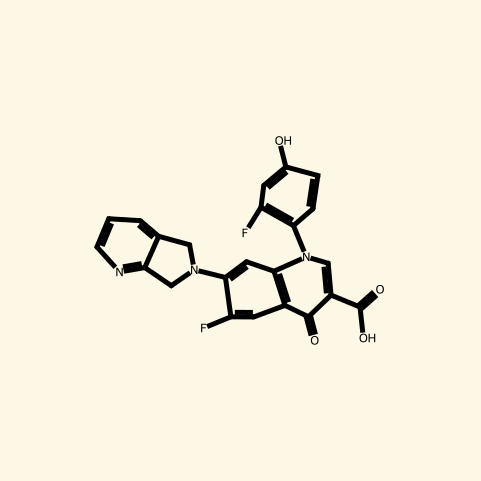 O=C(O)c1cn(-c2ccc(O)cc2F)c2cc(N3Cc4cccnc4C3)c(F)cc2c1=O